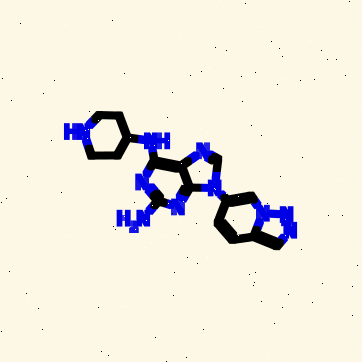 Nc1nc(NC2CCNCC2)c2ncn(-c3ccc4cnnn4c3)c2n1